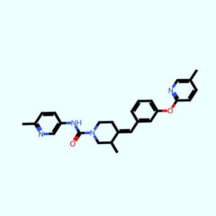 Cc1ccc(Oc2cccc(C=C3CCN(C(=O)Nc4ccc(C)nc4)CC3C)c2)nc1